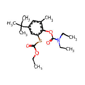 CCOC(=O)Sc1cc(C(C)(C)C)cc(C)c1OC(=O)N(CC)CC